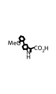 COc1ccccc1-c1ccc2[nH]cc(CC(=O)O)c2c1